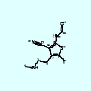 CNCCc1c(C)sc(NC=O)c1C#N